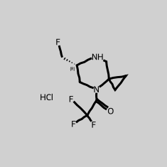 Cl.O=C(N1C[C@H](CF)NCC12CC2)C(F)(F)F